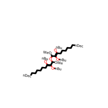 CCCCCCCCCCCCCCCCC(OCCCC)=C(OCCCC)C(OC)OC(OC)C(OCCCC)=C(CCCCCCCCCCCCCCCC)OCCCC